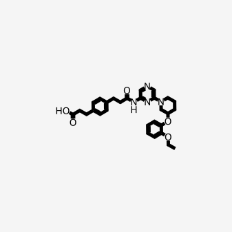 CCOc1ccccc1OC1CCCN(c2cncc(NC(=O)CCc3ccc(CCC(=O)O)cc3)n2)C1